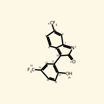 O=C1N=c2cc(C(F)(F)F)ccc2=C1c1cc(C(F)(F)F)ccc1O